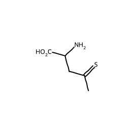 CC(=S)CC(N)C(=O)O